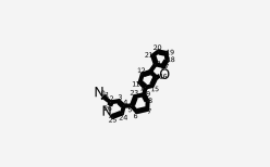 N#Cc1cc(-c2cccc(-c3ccc4c(c3)oc3ccccc34)c2)ccn1